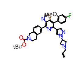 C=CCN1CC(n2cc(-c3nc(-c4ccc5c(c4)CCN(C(=O)OC(C)(C)C)C5)c4ncsc4c3-c3ccc(F)cc3OC)cn2)C1